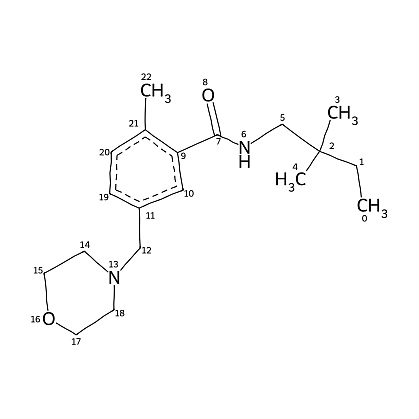 CCC(C)(C)CNC(=O)c1cc(CN2CCOCC2)ccc1C